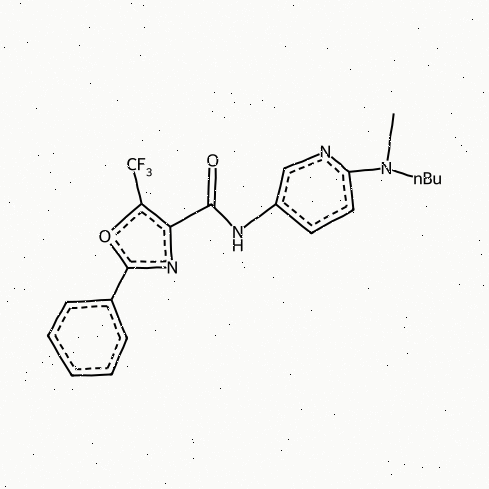 CCCCN(C)c1ccc(NC(=O)c2nc(-c3ccccc3)oc2C(F)(F)F)cn1